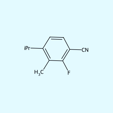 Cc1c(C(C)C)ccc(C#N)c1F